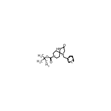 CC(C)(C)OC(=O)N1CCC2(CC1)NC(=O)CN2Cc1ccccc1